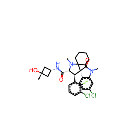 CN1C(=O)[C@@]2(c3ccc(Cl)cc31)[C@@H](c1cccc(Cl)c1F)[C@H](C(=O)N[C@H]1C[C@@](C)(O)C1)N(C)C21CCCCC1